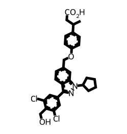 CC(CC(=O)O)c1ccc(OCc2ccc3c(-c4cc(Cl)c(CO)c(Cl)c4)nn(C4CCCC4)c3c2)cc1